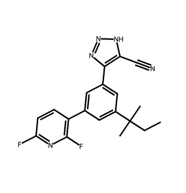 CCC(C)(C)c1cc(-c2ccc(F)nc2F)cc(-c2nn[nH]c2C#N)c1